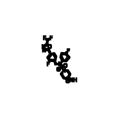 N=S1(=O)CCN(S(=O)(=O)N(Cc2ccc(-c3nnc(C(F)F)o3)cc2F)c2ccc(F)cc2)CC1